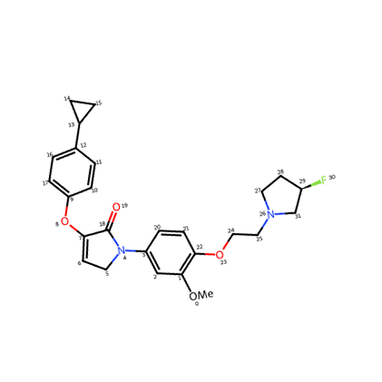 COc1cc(N2CC=C(Oc3ccc(C4CC4)cc3)C2=O)ccc1OCCN1CC[C@@H](F)C1